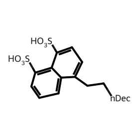 CCCCCCCCCCCCc1ccc(S(=O)(=O)O)c2c(S(=O)(=O)O)cccc12